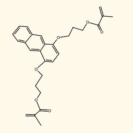 C=C(C)C(=O)OCCCOc1ccc(OCCCOC(=O)C(=C)C)c2cc3ccccc3cc12